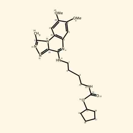 COc1cc2nc(NCCCCNC(=O)OC3CCCC3)c3nnc(C)n3c2cc1OC